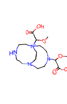 COC(C(=O)O)N1CCN2CCNCC[N+](C(OC)C(=O)O)(CC2)CC1